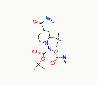 C=NC(=O)ON(C(=O)OC(C)(C)C)N1CCC(C(N)=O)CC1C(C)(C)C